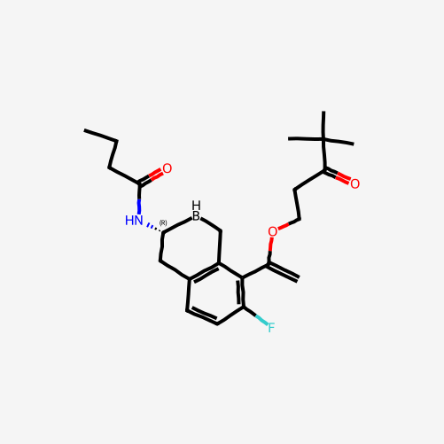 C=C(OCCC(=O)C(C)(C)C)c1c(F)ccc2c1CB[C@@H](NC(=O)CCC)C2